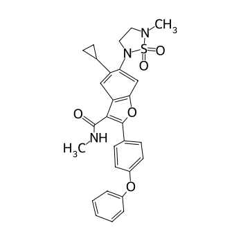 CNC(=O)c1c(-c2ccc(Oc3ccccc3)cc2)oc2cc(N3CCN(C)S3(=O)=O)c(C3CC3)cc12